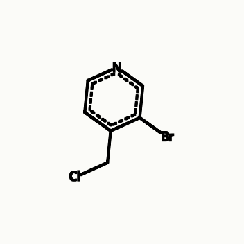 ClCc1ccncc1Br